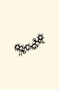 Cn1cc(C(=O)c2cc(N3CCC(N4Cc5cccnc5NC4=O)CC3)ncn2)c2ccccc21